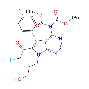 Cc1ccc(-c2c(C(=O)CF)n(CCCO)c3ncnc(N(C(=O)OC(C)(C)C)C(=O)OC(C)(C)C)c23)cc1